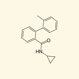 Cc1ccccc1-c1ccccc1C(=O)NC1CC1